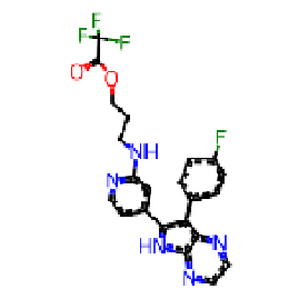 O=C(OCCCNc1cc(-c2[nH]c3nccnc3c2-c2ccc(F)cc2)ccn1)C(F)(F)F